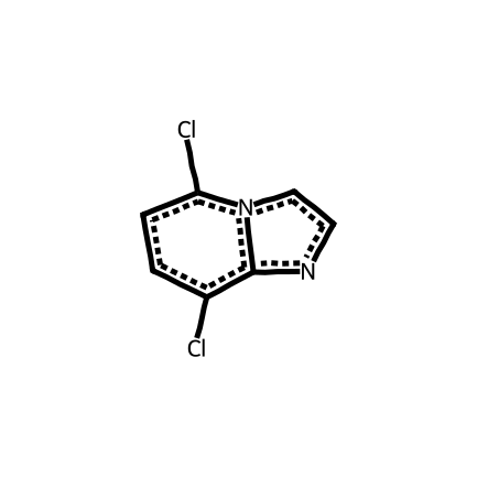 Clc1ccc(Cl)n2ccnc12